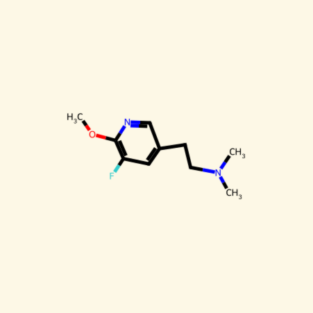 COc1ncc(CCN(C)C)cc1F